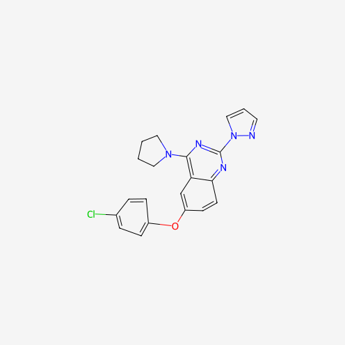 Clc1ccc(Oc2ccc3nc(-n4cccn4)nc(N4CCCC4)c3c2)cc1